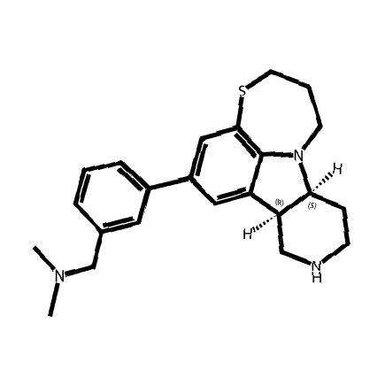 CN(C)Cc1cccc(-c2cc3c4c(c2)[C@@H]2CNCC[C@@H]2N4CCCS3)c1